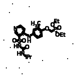 CCOP(=O)(COc1ccc(Nc2ccncc2S(=O)(=O)NC(=O)NC(C)C)cc1C)OCC